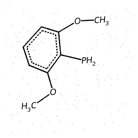 COc1cccc(OC)c1P